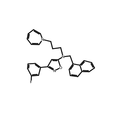 Fc1cccc(-c2cc(N(CCCN3C=CC=CC=C3)Cc3cccc4ccccc34)on2)c1